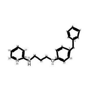 [CH](c1ccccc1)c1ccc(OCCCNc2ccccn2)cc1